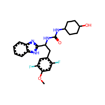 COc1cc(F)c(CC(NC(=O)NC2CCC(O)CC2)c2nc3ccccc3[nH]2)cc1F